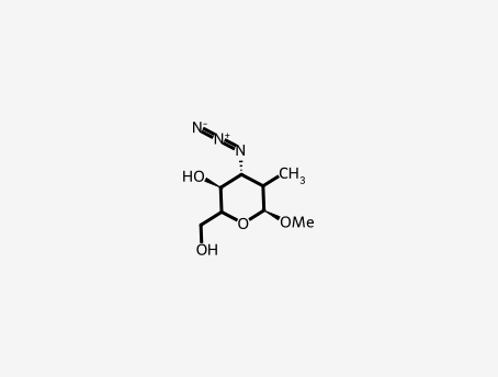 CO[C@H]1OC(CO)[C@@H](O)[C@H](N=[N+]=[N-])C1C